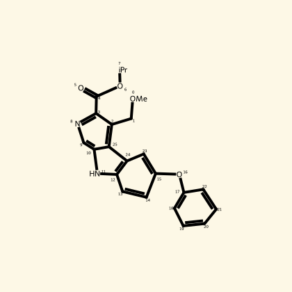 COCc1c(C(=O)OC(C)C)ncc2[nH]c3ccc(Oc4ccccc4)cc3c12